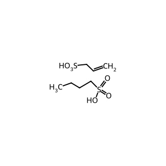 C=CCS(=O)(=O)O.CCCCS(=O)(=O)O